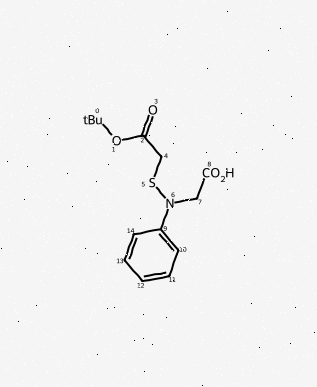 CC(C)(C)OC(=O)CSN(CC(=O)O)c1ccccc1